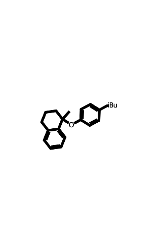 CCC(C)c1ccc(OC2(C)CCCc3ccccc32)cc1